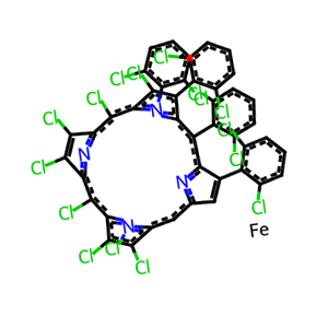 ClC1=C(Cl)c2nc1c(Cl)c1c(Cl)c(Cl)c(cc3nc(c(-c4c(Cl)cccc4Cl)c4c(-c5c(Cl)cccc5Cl)c(Cl)c(c2Cl)n4-c2c(Cl)cccc2Cl)C(c2c(Cl)cccc2Cl)=C3)n1Cl.[Fe]